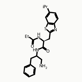 CCC(=O)N[C@@H](Cc1nc2ccc(C(C)C)cc2s1)C(=O)NC(CN)Cc1ccccc1